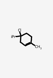 CC1=CCC(Cl)(C(C)C)CC1